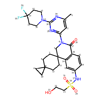 Cc1cc(N2CC3(CCC4(CC4)CC3)c3cc(NS(=O)(=O)CCO)ccc3C2=O)nc(N2CCC(F)(F)CC2)n1